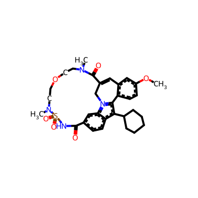 COc1ccc2c(c1)C=C1Cn3c-2c(C2CCCCC2)c2ccc(cc23)C(=O)NS(=O)(=O)N(C)CCOCCN(C)C1=O